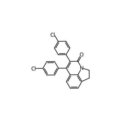 O=c1c(-c2ccc(Cl)cc2)c(-c2ccc(Cl)cc2)c2cccc3c2n1CC3